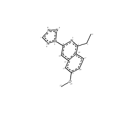 CCc1nc(-n2ncnn2)cc2cc(OC)ccc12